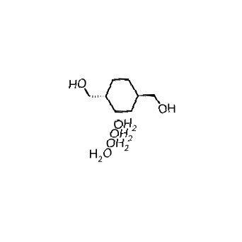 O.O.O.O.OC[C@H]1CC[C@H](CO)CC1